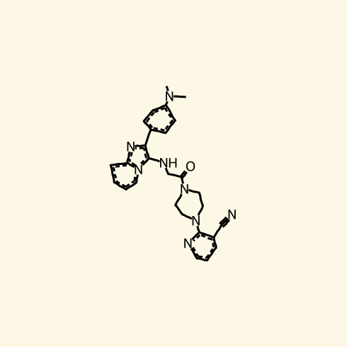 CN(C)c1ccc(-c2nc3ccccn3c2NCC(=O)N2CCN(c3ncccc3C#N)CC2)cc1